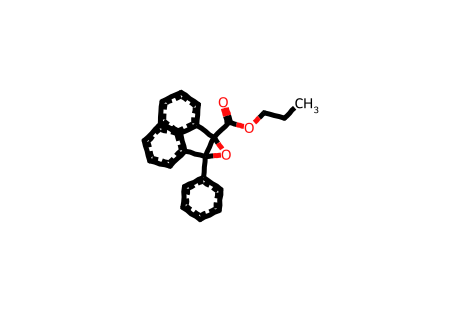 CCCOC(=O)C1(c2ccccc2)OC1(c1ccccc1)c1ccccc1